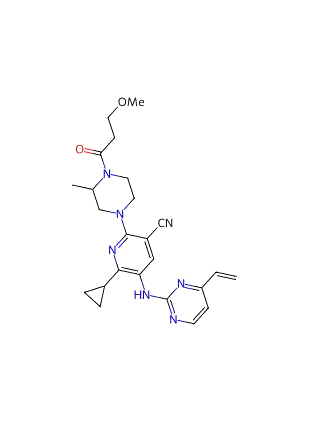 C=Cc1ccnc(Nc2cc(C#N)c(N3CCN(C(=O)CCOC)C(C)C3)nc2C2CC2)n1